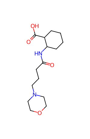 O=C(CCCN1CCOCC1)NC1CCCCC1C(=O)O